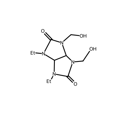 CCN1C(=O)N(CO)C2C1N(CC)C(=O)N2CO